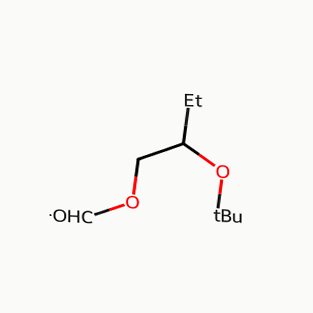 CCC(CO[C]=O)OC(C)(C)C